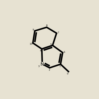 Cc1cnc2c(c1)CCC=C2